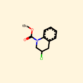 CC(C)(C)OC(=O)N1CC(Cl)Cc2ccccc21